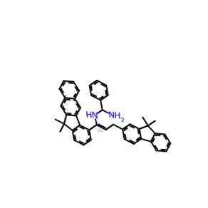 CC1(C)c2ccccc2-c2ccc(C/C=C(\NC(N)c3ccccc3)c3cccc4c3-c3cc5ccccc5cc3C4(C)C)cc21